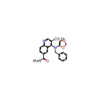 CCOC(=O)c1cnc2ccc(C(=O)NC)cc2c1N(Cc1ccccc1)C1=COCO1